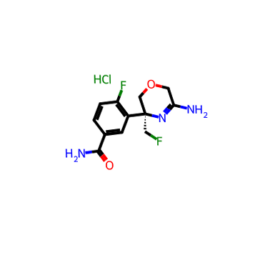 Cl.NC(=O)c1ccc(F)c([C@@]2(CF)COCC(N)=N2)c1